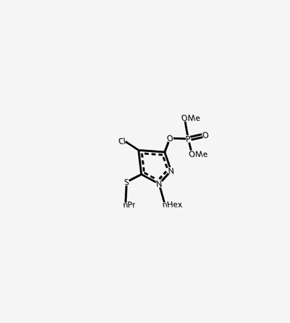 CCCCCCn1nc(OP(=O)(OC)OC)c(Cl)c1SCCC